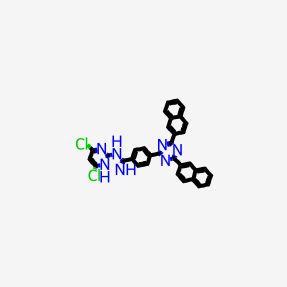 N=C(NC1N=C(Cl)C=C(Cl)N1)c1ccc(-c2nc(-c3ccc4ccccc4c3)nc(-c3ccc4ccccc4c3)n2)cc1